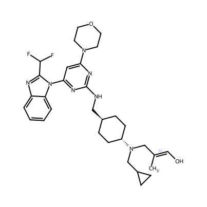 C/C(=C\O)CN(CC1CC1)[C@H]1CC[C@H](CNc2nc(N3CCOCC3)cc(-n3c(C(F)F)nc4ccccc43)n2)CC1